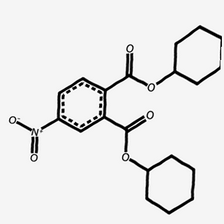 O=C(OC1CCCCC1)c1ccc([N+](=O)[O-])cc1C(=O)OC1CCCCC1